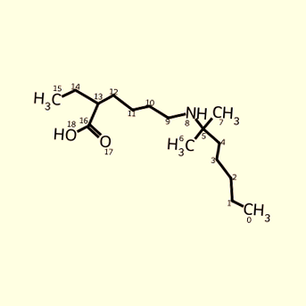 CCCCCC(C)(C)NCCCCC(CC)C(=O)O